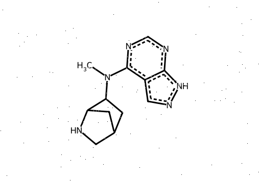 CN(c1ncnc2[nH]ncc12)C1CC2CNC1C2